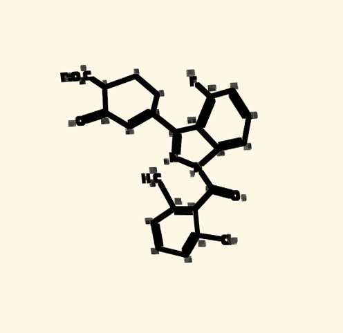 CCOC(=O)C1CCC(c2nn(C(=O)c3c(C)cccc3Cl)c3cccc(F)c23)=CC1=O